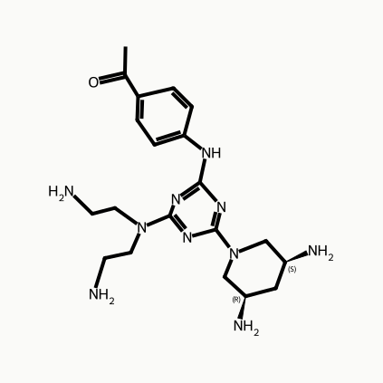 CC(=O)c1ccc(Nc2nc(N(CCN)CCN)nc(N3C[C@H](N)C[C@H](N)C3)n2)cc1